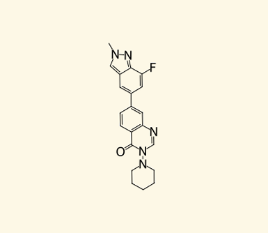 Cn1cc2cc(-c3ccc4c(=O)n(N5CCCCC5)cnc4c3)cc(F)c2n1